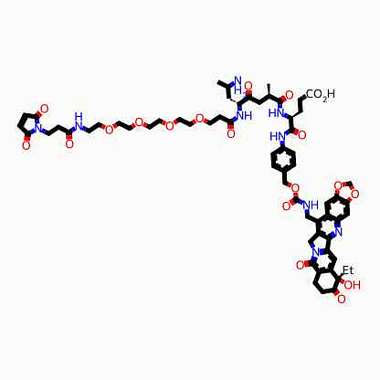 CC[C@@]1(O)C(=O)CCc2c1cc1n(c2=O)Cc2c-1nc1cc3c(cc1c2CNC(=O)OCc1ccc(NC(=O)[C@H](CCC(=O)O)NC(=O)[C@H](C)CC(=O)[C@@H](CC(C)N)NC(=O)CCOCCOCCOCCOCCNC(=O)CCN2C(=O)C=CC2=O)cc1)OCO3